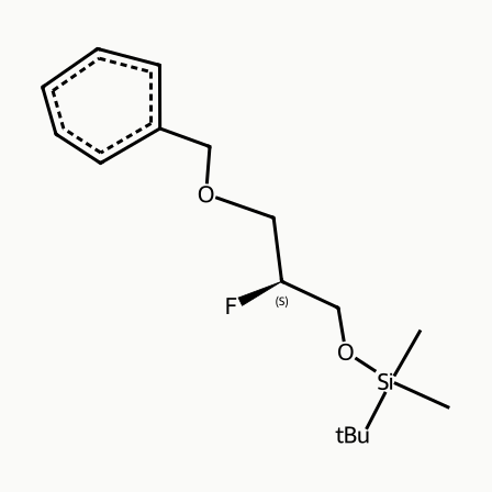 CC(C)(C)[Si](C)(C)OC[C@@H](F)COCc1ccccc1